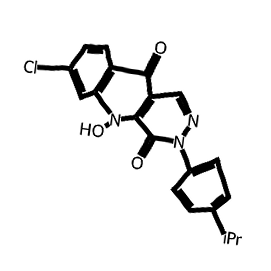 CC(C)c1ccc(-n2ncc3c(=O)c4ccc(Cl)cc4n(O)c3c2=O)cc1